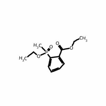 CCOC(=O)c1ccccc1P(C)(=O)OCC